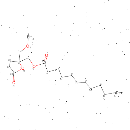 BOCC1(COC(=O)CCCCCCCCCCCCCCCCCCC)CCC(=O)O1